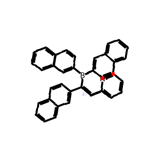 C(=C(/B(c1ccc2ccccc2c1)c1ccc2ccccc2c1)c1ccc2ccccc2c1)/c1ccccn1